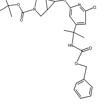 CC(C)(C)OC(=O)N1CC2C(C1)C2Oc1cc(C(C)(C)NC(=O)OCc2ccccc2)cc(Cl)n1